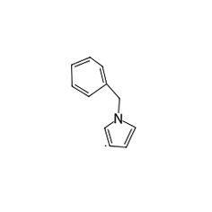 [c]1ccn(Cc2ccccc2)c1